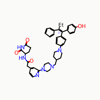 CC/C(=C(\c1ccc(O)cc1)c1ccc(N2CCC(CN3CCN(c4cc(CC(=O)NC5CCC(=O)NC5=O)ccn4)CC3)CC2)cc1)c1ccccc1